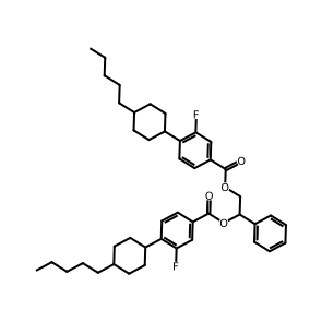 CCCCCC1CCC(c2ccc(C(=O)OCC(OC(=O)c3ccc(C4CCC(CCCCC)CC4)c(F)c3)c3ccccc3)cc2F)CC1